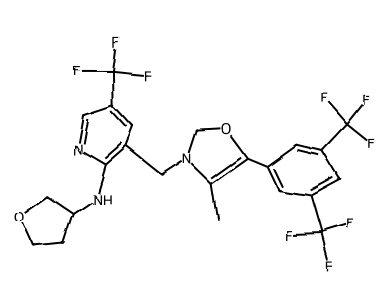 CC1=C(c2cc(C(F)(F)F)cc(C(F)(F)F)c2)OCN1Cc1cc(C(F)(F)F)cnc1NC1CCOC1